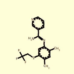 Cc1cc(C)c(SCC(F)(F)F)cc1/N=C(\N)c1cccnc1